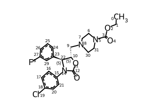 CCOC(=O)N1CCN(C[C@@H]2OC(=O)N(c3ccc(Cl)cc3)[C@H]2c2cccc(F)c2)CC1